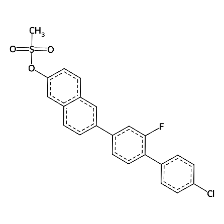 CS(=O)(=O)Oc1ccc2cc(-c3ccc(-c4ccc(Cl)cc4)c(F)c3)ccc2c1